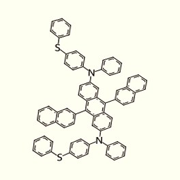 c1ccc(Sc2ccc(N(c3ccccc3)c3ccc4c(-c5ccc6ccccc6c5)c5cc(N(c6ccccc6)c6ccc(Sc7ccccc7)cc6)ccc5c(-c5ccc6ccccc6c5)c4c3)cc2)cc1